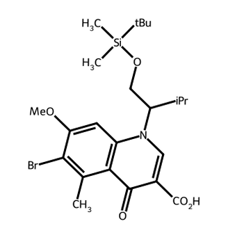 COc1cc2c(c(C)c1Br)c(=O)c(C(=O)O)cn2C(CO[Si](C)(C)C(C)(C)C)C(C)C